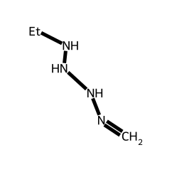 C=NNNNCC